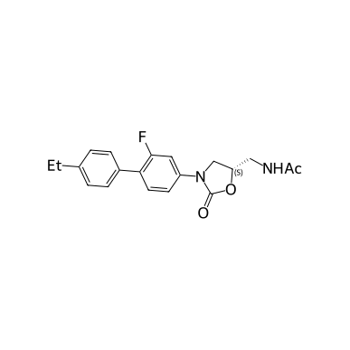 CCc1ccc(-c2ccc(N3C[C@H](CNC(C)=O)OC3=O)cc2F)cc1